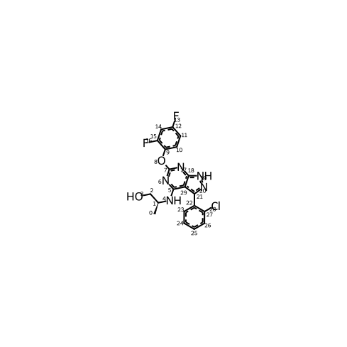 C[C@@H](CO)Nc1nc(Oc2ccc(F)cc2F)nc2[nH]nc(-c3ccccc3Cl)c12